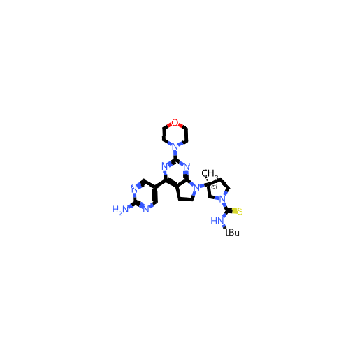 [CH2]C(C)(C)NC(=S)N1CC[C@](C)(N2CCc3c(-c4cnc(N)nc4)nc(N4CCOCC4)nc32)C1